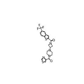 O=C(c1cscn1)N1CCN(C2CN(C(=O)c3cc4cc(C(F)(F)F)ccc4s3)C2)CC1